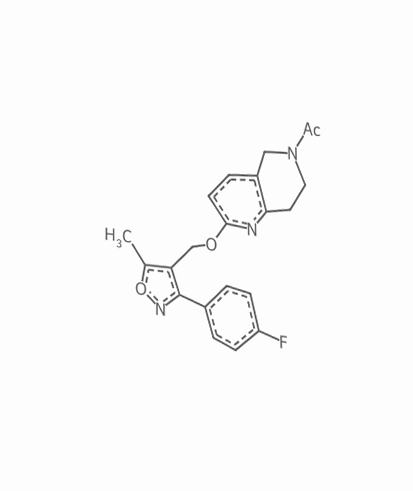 CC(=O)N1CCc2nc(OCc3c(-c4ccc(F)cc4)noc3C)ccc2C1